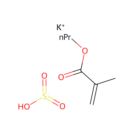 C=C(C)C(=O)OCCC.O=[S-](=O)O.[K+]